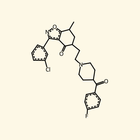 CC1CC(CCN2CCC(C(=O)c3ccc(F)cc3)CC2)C(=O)c2c(-c3cccc(Cl)c3)noc21